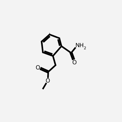 COC(=O)Cc1cc[c]cc1C(N)=O